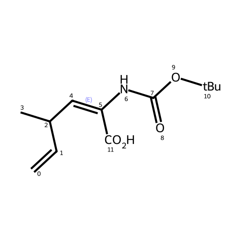 C=CC(C)/C=C(/NC(=O)OC(C)(C)C)C(=O)O